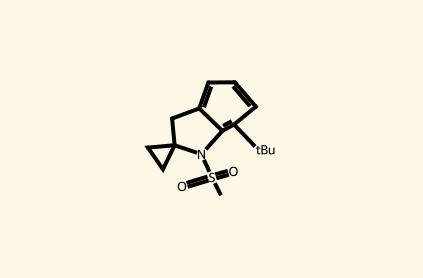 CC(C)(C)c1cccc2c1N(S(C)(=O)=O)C1(CC1)C2